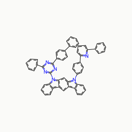 c1ccc(-c2ccc(-c3nc(-c4ccccc4)nc(-n4c5ccccc5c5cc6c7ccccc7n(-c7ccc(-c8cccc(-c9ccccc9)n8)cc7)c6cc54)n3)cc2)cc1